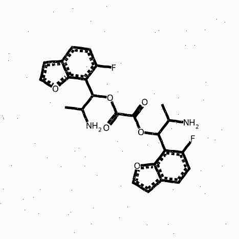 CC(N)C(OC(=O)C(=O)OC(c1c(F)ccc2ccoc12)C(C)N)c1c(F)ccc2ccoc12